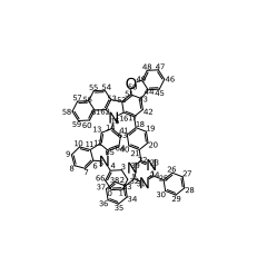 C1=CCCC(n2c3ccccc3c3cc(-n4c5c(-c6ccc(-c7nc(-c8ccccc8)nc(-c8ccccc8)n7)cc6)cc6c7ccccc7oc6c5c5ccc6ccccc6c54)ccc32)=C1